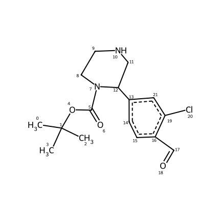 CC(C)(C)OC(=O)N1CCNCC1c1ccc(C=O)c(Cl)c1